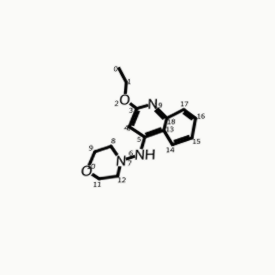 CCOc1[c]c(NN2CCOCC2)c2ccccc2n1